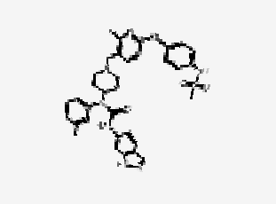 Cc1nc(Oc2ccc(NS(C)(=O)=O)cc2)ccc1CN1CCC(N(C(=O)[AsH]c2ccc3cn[nH]c3c2)c2cccc(F)c2)CC1